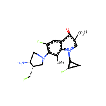 COc1c(N2C[C@H](CF)[C@H](N)C2)c(F)cc2c(=O)c(C(=O)O)cn(C3C[C@@H]3F)c12